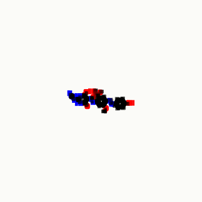 COc1cc(N=NC2C(=O)NC(=NC#N)NC2=O)c(S(=O)(=O)O)cc1N=Nc1ccc(O)cc1